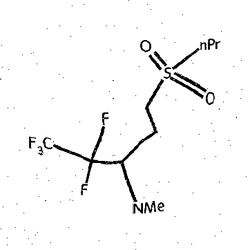 CCCS(=O)(=O)CCC(NC)C(F)(F)C(F)(F)F